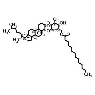 CCCCCCCCCCCCCC(=O)OC[C@H]1O[C@H](O)[C@H](O[C@H]2CC[C@@]3(C)C(=CC[C@H]4[C@@H]5CC[C@H]([C@H](C)CCCC(C)C)[C@@]5(C)CC[C@@H]43)C2)[C@@H](O)[C@@H]1O